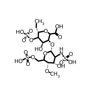 CC[C@@H]1OC(C(=O)O)[C@@H](O[C@H]2OC(COS(=O)(=O)O)[C@@H](OC)[C@@H](O)C2NS(=O)(=O)O)[C@@H](O)C1OS(=O)(=O)O